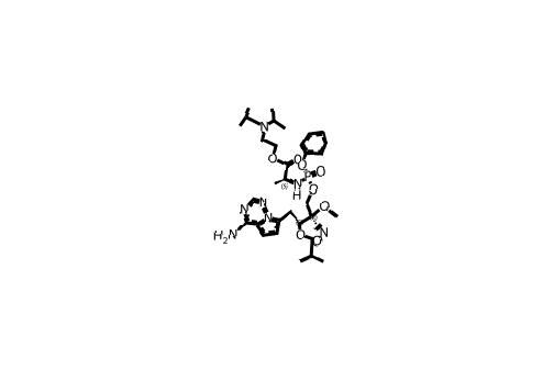 CO[C@](C#N)(COP(=O)(N[C@@H](C)C(=O)OCCN(C(C)C)C(C)C)Oc1ccccc1)[C@H](Cc1ccc2c(N)ncnn12)OC(=O)C(C)C